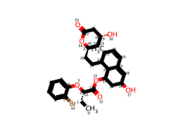 CC[C@H](Oc1ccccc1Br)C(=O)OC1CC(O)C=C2C=CC(C)C(CC[C@@H]3C[C@@H](O)CC(=O)O3)C21